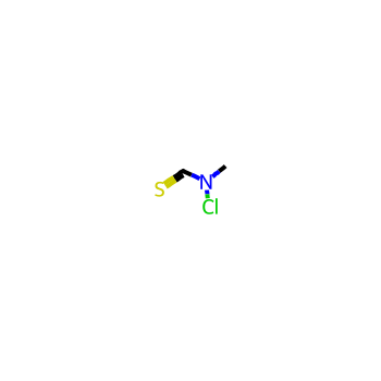 CN(Cl)C=S